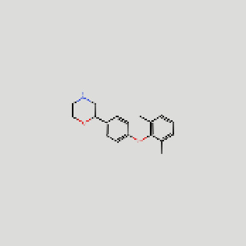 Cc1cccc(C)c1Oc1ccc(C2CNCCO2)cc1